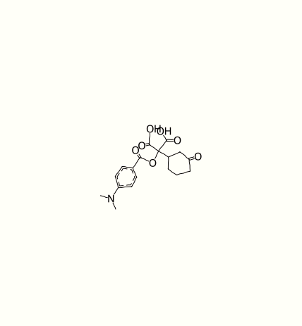 CN(C)c1ccc(C(=O)OC(C(=O)O)(C(=O)O)C2CCCC(=O)C2)cc1